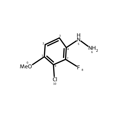 COc1ccc(NN)c(F)c1Cl